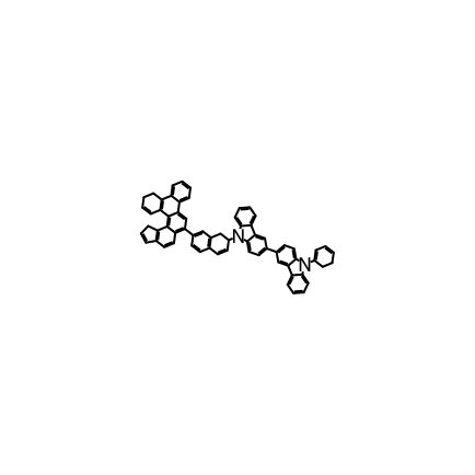 C1=CCCC(n2c3ccccc3c3cc(-c4ccc5c(c4)c4ccccc4n5C4C=Cc5ccc(-c6cc7c8ccccc8c8c(c7c7c9c(ccc67)C=CC9)C=CCC8)cc5C4)ccc32)=C1